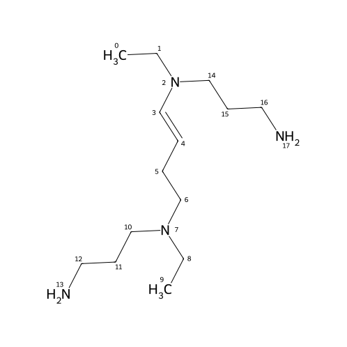 CCN(C=CCCN(CC)CCCN)CCCN